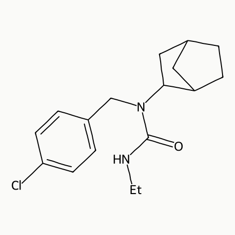 CCNC(=O)N(Cc1ccc(Cl)cc1)C1CC2CCC1C2